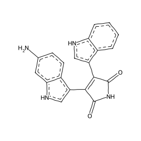 Nc1ccc2c(C3=C(c4c[nH]c5ccccc45)C(=O)NC3=O)c[nH]c2c1